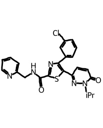 CC(C)n1nc(-c2sc(C(=O)NCc3ccccn3)nc2-c2cccc(Cl)c2)ccc1=O